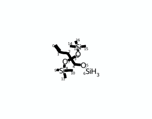 C=CCC(CO[SiH3])(O[Si](C)(C)C)O[Si](C)(C)C